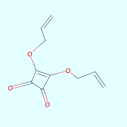 C=CCOc1c(OCC=C)c(=O)c1=O